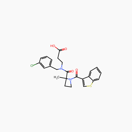 CC1(C(=O)N(CCC(=O)O)Cc2cccc(Cl)c2)CCN1C(=O)c1csc2ccccc12